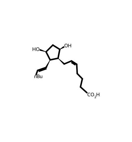 CCCC/C=C/[C@@H]1[C@H](C/C=C\CCCC(=O)O)[C@H](O)C[C@@H]1O